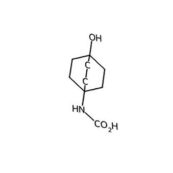 O=C(O)NC12CCC(O)(CC1)CC2